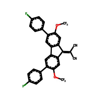 N#CC(C#N)=C1c2cc(OC(F)(F)F)c(-c3ccc(F)cc3)cc2-c2cc(-c3ccc(F)cc3)c(OC(F)(F)F)cc21